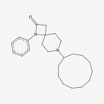 O=C1CC2(CCN(C3CCCCCCCCCC3)CC2)N1c1ccccc1